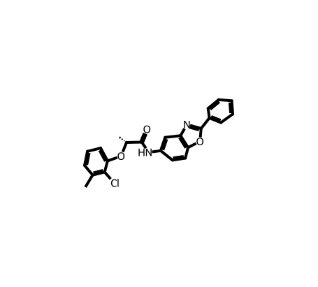 Cc1cccc(O[C@H](C)C(=O)Nc2ccc3oc(-c4ccccc4)nc3c2)c1Cl